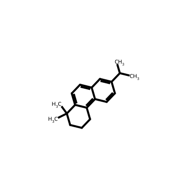 CC(C)c1ccc2c3c(ccc2c1)C(C)(C)CCC3